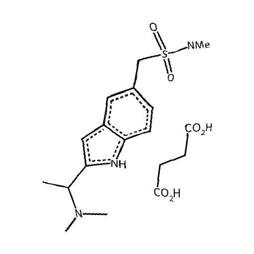 CNS(=O)(=O)Cc1ccc2[nH]c(C(C)N(C)C)cc2c1.O=C(O)CCC(=O)O